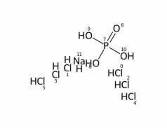 Cl.Cl.Cl.Cl.Cl.Cl.O=P(O)(O)O.[NaH]